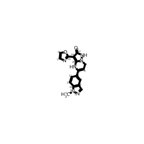 Cn1ncc2cc(C3=CCn4[nH]c(=O)c(-c5ncco5)c4N3)ccc21